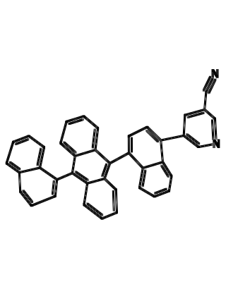 N#Cc1cncc(-c2ccc(-c3c4ccccc4c(-c4cccc5ccccc45)c4ccccc34)c3ccccc23)c1